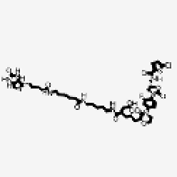 O=C(O)CC(CCCC1OCCN(c2ccc(N3C[C@H](CNC(=O)c4ccc(Cl)s4)OC3=O)c(F)c2)C1=O)C(=O)NCCCCCNC(=O)CCCCCNC(=O)CCCC[C@@H]1SC[C@@H]2NC(=O)N[C@@H]21